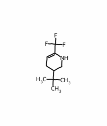 CC(C)(C)C1CC=C(C(F)(F)F)NC1